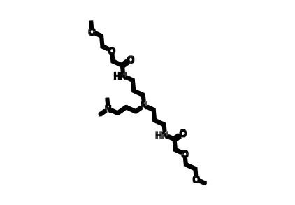 COCCOCC(=O)NCCCN(CCCNC(=O)COCCOC)CCCN(C)C